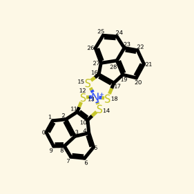 c1cc2c3c(cccc3c1)C1=C2S[N+]2(S1)SC1=C(S2)c2cccc3cccc1c23